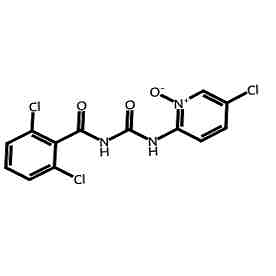 O=C(NC(=O)c1c(Cl)cccc1Cl)Nc1ccc(Cl)c[n+]1[O-]